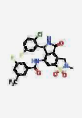 CN1Cc2c(cc(NC(=O)c3cc(F)cc(C(F)(F)F)c3)c3c2C(=O)NC3c2cc(F)ccc2Cl)S1(=O)=O